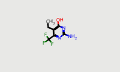 CCc1c(O)nc(N)nc1C(F)(F)F